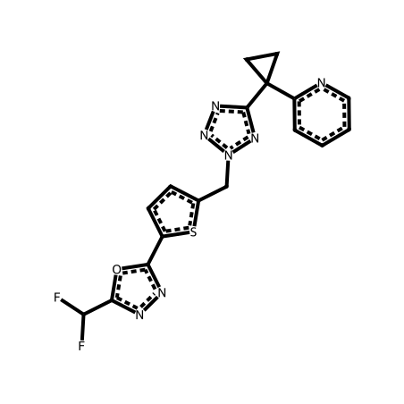 FC(F)c1nnc(-c2ccc(Cn3nnc(C4(c5ccccn5)CC4)n3)s2)o1